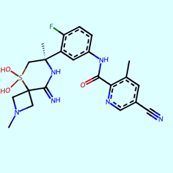 Cc1cc(C#N)cnc1C(=O)Nc1ccc(F)c([C@]2(C)CS(O)(O)C3(CN(C)C3)C(=N)N2)c1